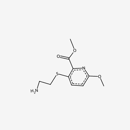 COC(=O)c1nc(OC)ccc1SCCN